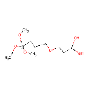 CO[Si](CCCOCCC(O)O)(OC)OC